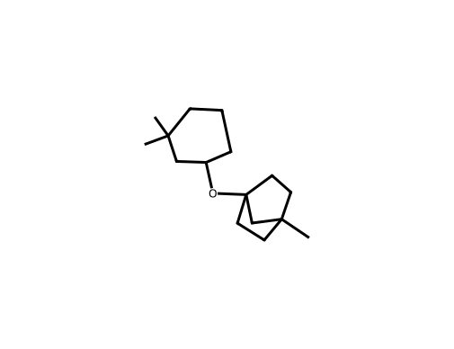 CC1(C)CCCC(OC23CCC(C)(CC2)C3)C1